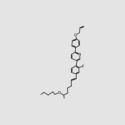 C=CCOc1ccc(-c2ccc(-c3ccc(/C=C/CCCC(C)OCCCCC)cc3F)cn2)cc1